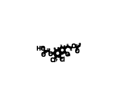 CC(=O)OCCC1Cc2cc(OCC(=O)O)c(Cl)c(Cl)c2C1=O